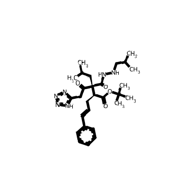 CC(C)CNNC(=O)[C@@](CC(C)C)(C(=O)Cc1nnn[nH]1)[C@H](CC=Cc1ccccc1)C(=O)OC(C)(C)C